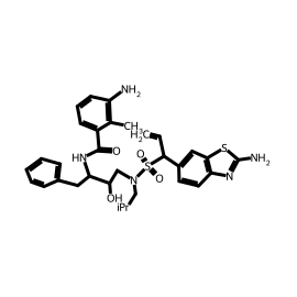 C=CC(c1ccc2nc(N)sc2c1)S(=O)(=O)N(CC(C)C)CC(O)C(Cc1ccccc1)NC(=O)c1cccc(N)c1C